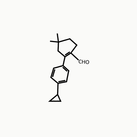 CC1(C)CCC(C=O)=C(c2ccc(C3CC3)cc2)C1